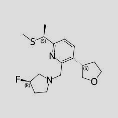 CS[C@@H](C)c1ccc([C@@H]2CCOC2)c(CN2CC[C@@H](F)C2)n1